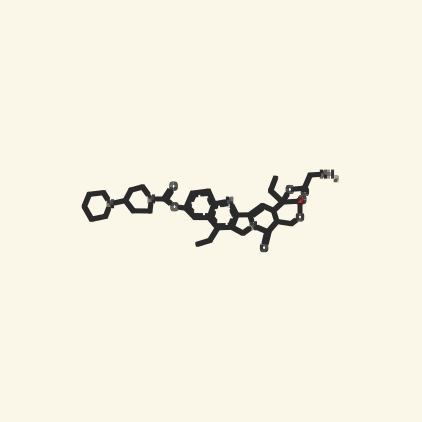 CCc1c2c(nc3ccc(OC(=O)N4CCC(N5CCCCC5)CC4)cc13)C1=CC3C(COC(=O)C3(CC)OC(=O)CN)C(=O)N1C2